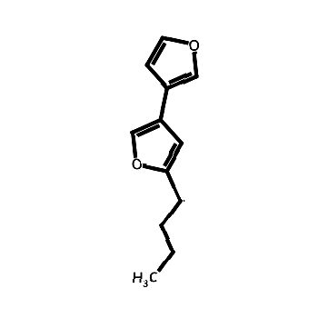 CCC[CH]c1cc(-c2ccoc2)co1